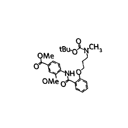 COC(=O)c1ccc(NC(=O)c2ccccc2OCCCN(C)C(=O)OC(C)(C)C)c(OC)c1